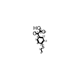 CCSc1ccc(C(=O)C(=O)O)cc1